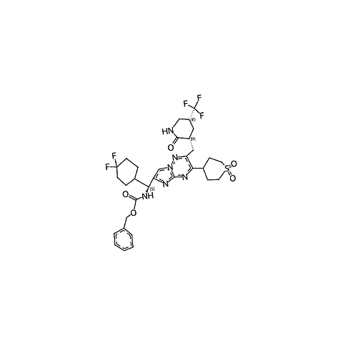 O=C(N[C@H](c1cn2nc(C[C@H]3C[C@@H](C(F)(F)F)CNC3=O)c(C3CCS(=O)(=O)CC3)nc2n1)C1CCC(F)(F)CC1)OCc1ccccc1